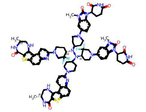 C[C@@H]1CNc2c(sc3ccc4nc(N5CCC(N([C@@H]6CCN(c7ccc8c(c7)n(C)c(=O)n8C7CCC(=O)NC7=O)CC6(F)F)N(C6CCN(c7ccc8c(c7)n(C)c(=O)n8C7CCC(=O)NC7=O)CC6)[C@H]6CCN(c7ccc8c(ccc9sc%10c(c98)NC[C@@H](C)NC%10=O)n7)CC6(F)F)CC5)ccc4c23)C(=O)N1